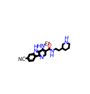 CCNc1c(C(=O)NCCC2CCCNC2)cnc2c1[nH]c1cc(C#N)ccc12